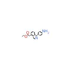 CCOC(=O)Cc1cccc2c(-c3ccc(N)cc3)nccc12